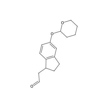 O=CCC1CCc2cc(OC3CCCCO3)ccc21